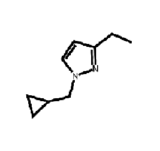 CCc1ccn(CC2CC2)n1